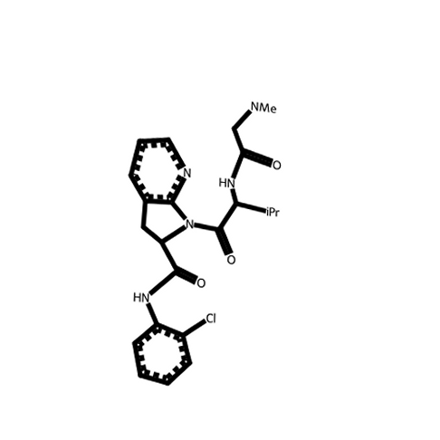 CNCC(=O)NC(C(=O)N1c2ncccc2CC1C(=O)Nc1ccccc1Cl)C(C)C